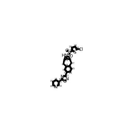 O=S(=O)(NC1C2CCC1Cc1cc(-c3noc(-c4cccnc4)n3)ccc1C2)c1ccc(Cl)s1